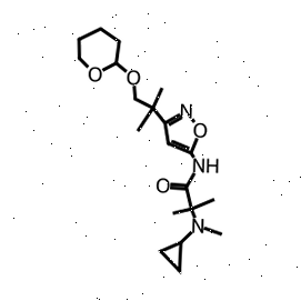 CN(C1CC1)C(C)(C)C(=O)Nc1cc(C(C)(C)COC2CCCCO2)no1